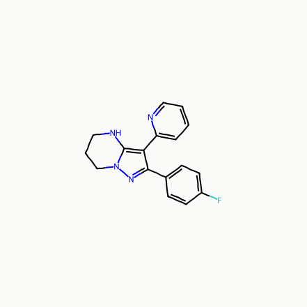 Fc1ccc(-c2nn3c(c2-c2ccccn2)NCCC3)cc1